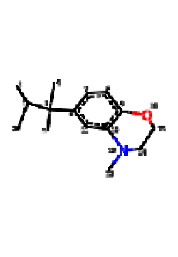 CC(C)C(C)(C)c1ccc2c(c1)N(C)CCO2